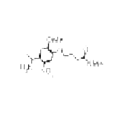 CNC(=O)CCCOc1cc([N+](=O)[O-])c(C(C)N)cc1OC